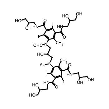 CC(=O)N(CC(O)CN(C=O)c1c(C)c(C(=O)NCC(O)CO)c(I)c(C(=O)NCC(O)CO)c1I)c1c(C)c(C(=O)NCC(O)CO)c(I)c(C(=O)NCC(O)CO)c1I